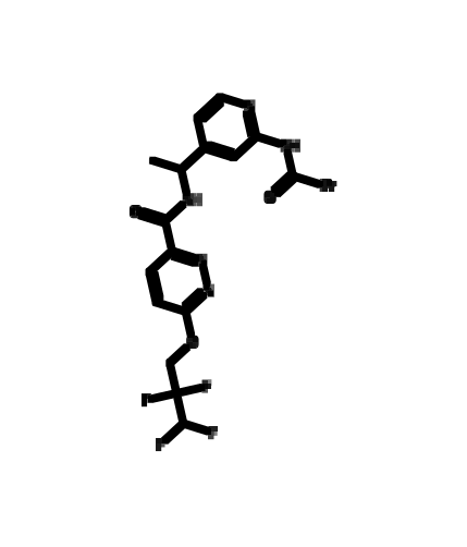 CC(C)C(=O)Nc1cc(C(C)NC(=O)c2ccc(OCC(F)(F)C(F)F)nn2)ccn1